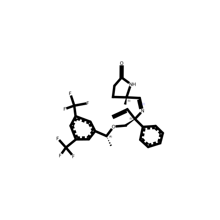 C=C[C@](CO[C@H](C)c1cc(C(F)(F)F)cc(C(F)(F)F)c1)(/N=C\[C@]1(C)CCC(=O)N1)c1ccccc1